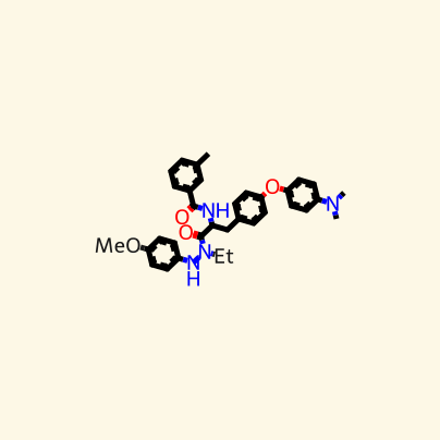 CCN(Nc1ccc(OC)cc1)C(=O)C(Cc1ccc(Oc2ccc(N(C)C)cc2)cc1)NC(=O)c1cccc(C)c1